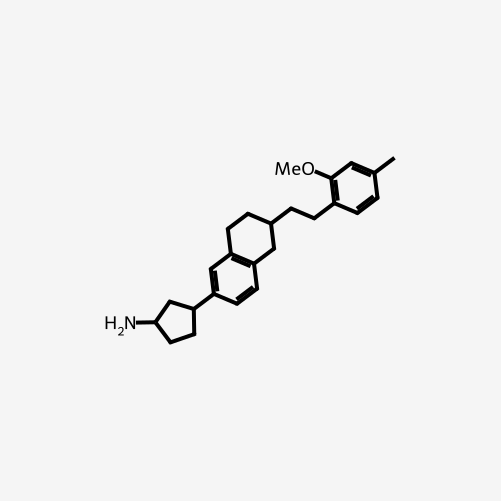 COc1cc(C)ccc1CCC1CCc2cc(C3CCC(N)C3)ccc2C1